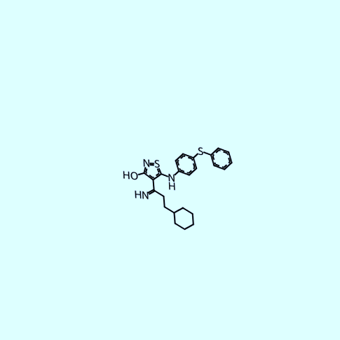 N=C(CCC1CCCCC1)c1c(O)nsc1Nc1ccc(Sc2ccccc2)cc1